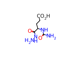 NNC(=O)C(CCC(=O)O)NC(N)=O